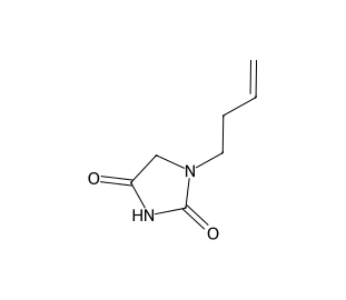 C=CCCN1CC(=O)NC1=O